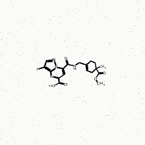 COC(=O)C1(C)CC=C(CNC(=O)c2cc(C(=O)O)nc3c(F)cnn23)CC1